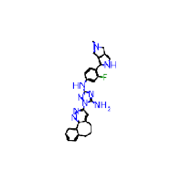 CN1CC2CNC(c3ccc(Nc4nc(N)n(-c5cc6c(nn5)-c5ccccc5CCC6)n4)cc3F)C2C1